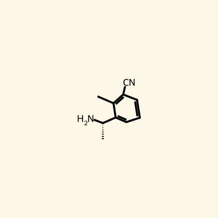 Cc1c(C#N)cccc1[C@H](C)N